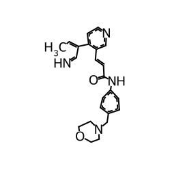 C/C=C(\C=N)c1ccncc1/C=C/C(=O)Nc1ccc(CN2CCOCC2)cc1